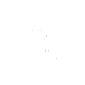 COc1ccc(CCNC(=O)C/C=C/CC(=O)NCCc2ccccc2)cc1OC